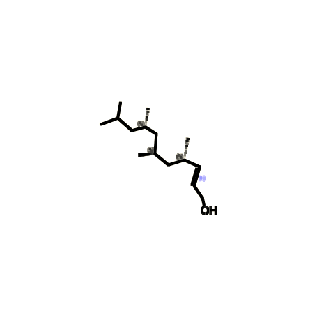 CC(C)C[C@H](C)C[C@H](C)C[C@H](C)/C=C/CO